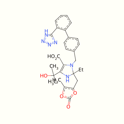 CCC1(Cc2oc(=O)oc2C)NC(C(C)(C)O)=C(C(=O)O)N1Cc1ccc(-c2ccccc2-c2nnn[nH]2)cc1